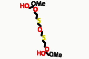 COCC(O)OCCCSCCOCCSCCCOC(CO)OC